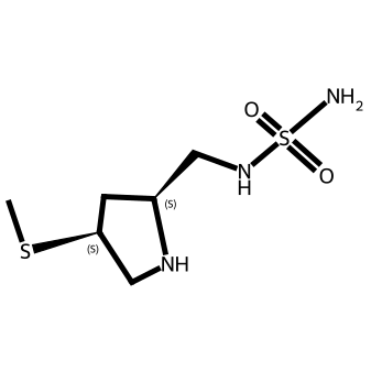 CS[C@@H]1CN[C@H](CNS(N)(=O)=O)C1